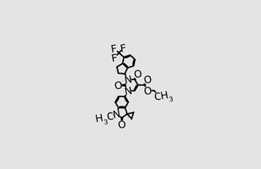 CCOC(=O)c1cn(-c2ccc3c(c2)C2(CC2)C(=O)N3C)c(=O)n(C2CCc3c2cccc3C(F)(F)F)c1=O